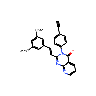 C#Cc1ccc(-n2c(/C=C/c3cc(OC)cc(OC)c3)nc3ncccc3c2=O)cc1